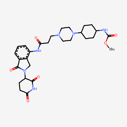 CC(C)(C)OC(=O)NC1CCC(N2CCN(CCC(=O)Nc3cccc4c3CN(C3CCC(=O)NC3=O)C4=O)CC2)CC1